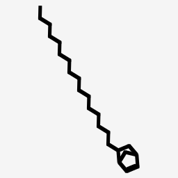 CCCCCCCCCCCCCCCCC1CC2C=CC1C2